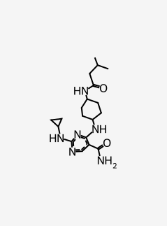 CC(C)CC(=O)NC1CCC(Nc2nc(NC3CC3)ncc2C(N)=O)CC1